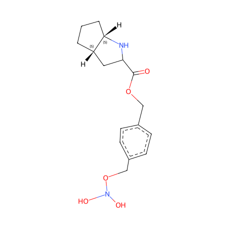 O=C(OCc1ccc(CON(O)O)cc1)C1C[C@@H]2CCC[C@@H]2N1